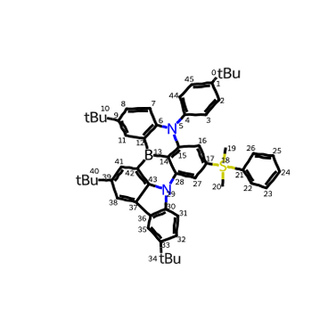 CC(C)(C)c1ccc(N2c3ccc(C(C)(C)C)cc3B3c4c2cc(S(C)(C)c2ccccc2)cc4-n2c4ccc(C(C)(C)C)cc4c4cc(C(C)(C)C)cc3c42)cc1